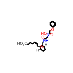 O=C(O)CCC/C=C\C[C@H]1[C@@H](CNC(=O)CN(O)C(=O)COc2ccccc2)[C@H]2CC[C@@H]1O2